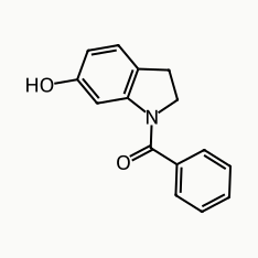 O=C(c1ccccc1)N1CCc2ccc(O)cc21